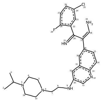 CC(C)N1CCN(CCNc2cnc3ccc(/C(=C/N)C(=N)c4cc(Cl)ccc4F)cc3c2)CC1